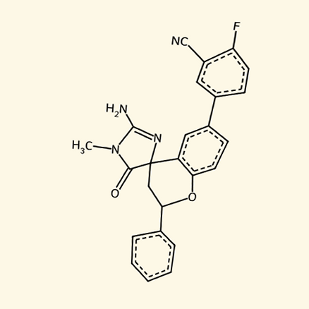 CN1C(=O)C2(CC(c3ccccc3)Oc3ccc(-c4ccc(F)c(C#N)c4)cc32)N=C1N